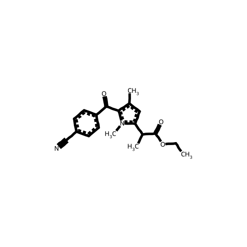 CCOC(=O)C(C)c1cc(C)c(C(=O)c2ccc(C#N)cc2)n1C